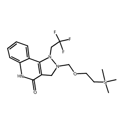 C[Si](C)(C)CCOCN1Cc2c(c3ccccc3[nH]c2=O)N1CC(F)(F)F